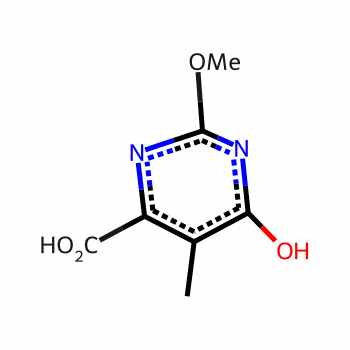 COc1nc(O)c(C)c(C(=O)O)n1